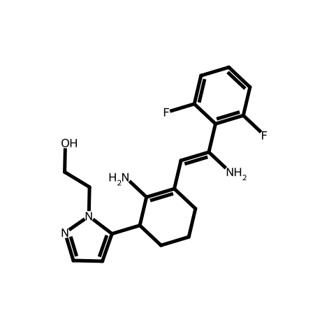 NC1=C(/C=C(\N)c2c(F)cccc2F)CCCC1c1ccnn1CCO